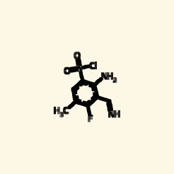 Cc1cc(S(=O)(=O)Cl)c(N)c(C=N)c1F